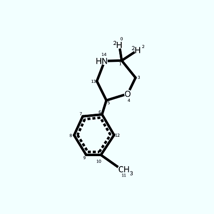 [2H]C1([2H])COC(c2cccc(C)c2)CN1